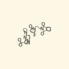 COC(=O)c1cnn2ccc(N3CCC[C@@H]3c3cc(F)cn(C[C@H](C)CN4C(=O)c5ccccc5C4=O)c3=O)nc12